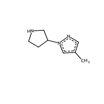 Cc1cnn(C2CCNC2)c1